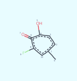 Cc1ccc(O)c(=O)c(F)c1